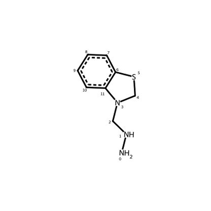 NNCN1CSc2ccccc21